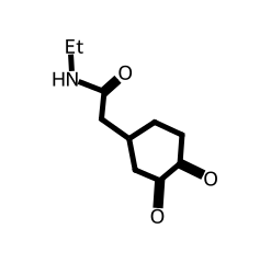 CCNC(=O)CC1CCC(=O)C(=O)C1